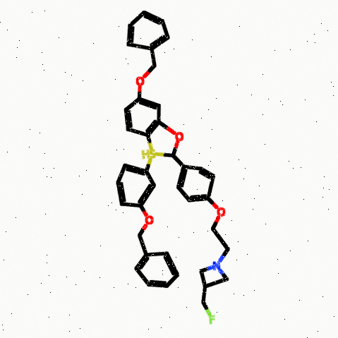 FCC1CN(CCOc2ccc(C3Oc4cc(OCc5ccccc5)ccc4[SH]3c3cccc(OCc4ccccc4)c3)cc2)C1